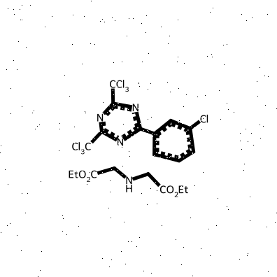 CCOC(=O)CNCC(=O)OCC.Clc1cccc(-c2nc(C(Cl)(Cl)Cl)nc(C(Cl)(Cl)Cl)n2)c1